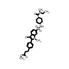 CCN(C)C(=O)[C@H]1CC[C@H](NS(=O)(=O)c2ccc3c(Cl)c(-c4ccc(CCC(=O)OC)cc4)n(C)c3c2)CC1